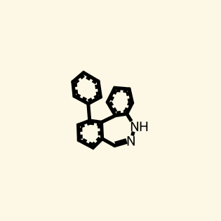 C1=NNc2ccccc2-c2c1cccc2-c1ccccc1